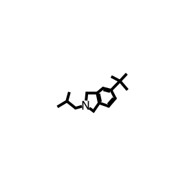 CC(C)CN1Cc2ccc(C(C)(C)C)cc2C1